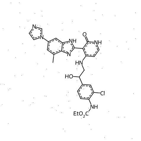 CCOC(=O)Nc1ccc(C(O)CNc2cc[nH]c(=O)c2-c2nc3c(C)cc(-n4ccnc4)cc3[nH]2)cc1Cl